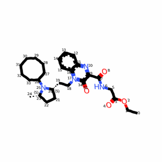 CCOC(=O)CNC(=O)c1nc2ccccc2n(CC[C@@H]2CC[C@H](C)N2C2CCCCCCC2)c1=O